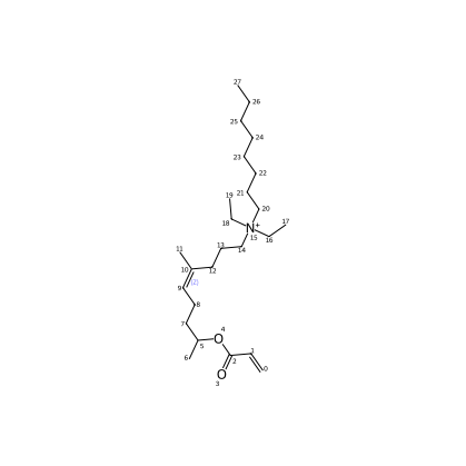 C=CC(=O)OC(C)CC/C=C(/C)CCC[N+](CC)(CC)CCCCCCCC